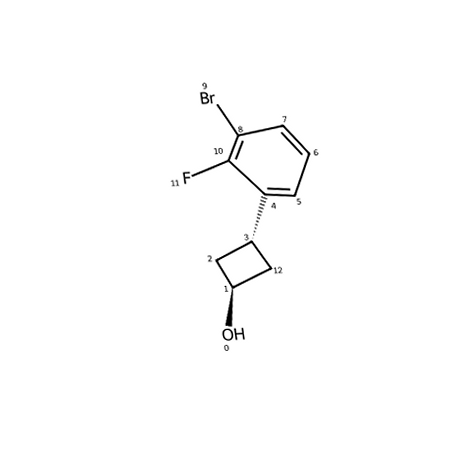 O[C@H]1C[C@H](c2cccc(Br)c2F)C1